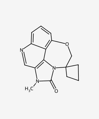 Cn1c(=O)n2c3c4c(cccc4ncc31)OCC21CCC1